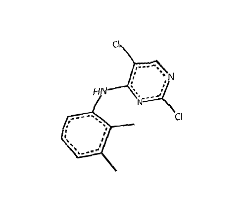 Cc1cccc(Nc2nc(Cl)ncc2Cl)c1C